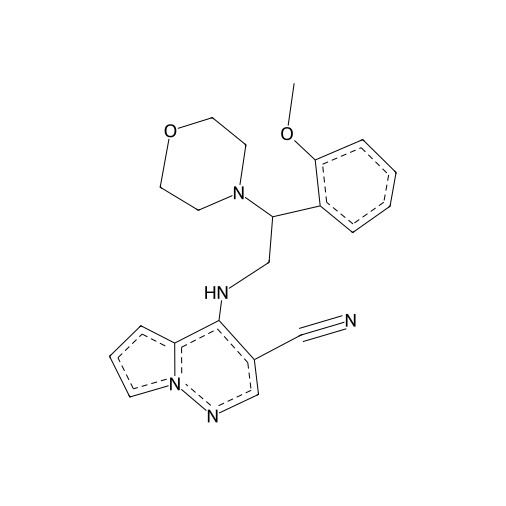 COc1ccccc1C(CNc1c(C#N)cnn2cccc12)N1CCOCC1